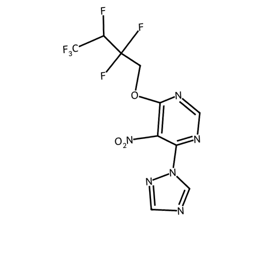 O=[N+]([O-])c1c(OCC(F)(F)C(F)C(F)(F)F)ncnc1-n1cncn1